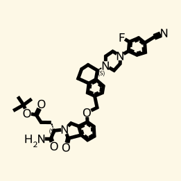 CC(C)(C)OC(=O)CC[C@@H](C(N)=O)N1Cc2c(OCc3ccc4c(c3)CCC[C@@H]4N3CCN(c4ccc(C#N)cc4F)CC3)cccc2C1=O